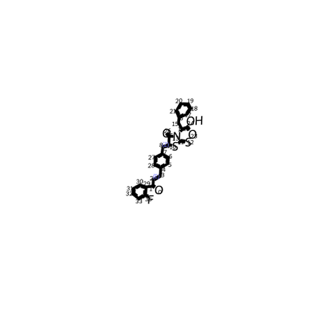 O=C(/C=C/c1ccc(/C=C2\SC(=S)N(C(Cc3ccccc3)C(=O)O)C2=O)cc1)c1ccccc1F